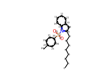 CCCCCCCCc1cc2ccccc2n1S(=O)(=O)c1ccc(C)cc1